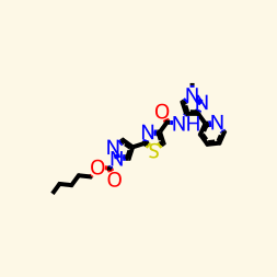 CCCCCOC(=O)n1cc(-c2nc(C(=O)Nc3cn(C)nc3-c3ccccn3)cs2)cn1